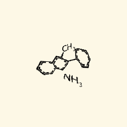 Cc1cc2ccccc2cc1-c1ccccc1.N